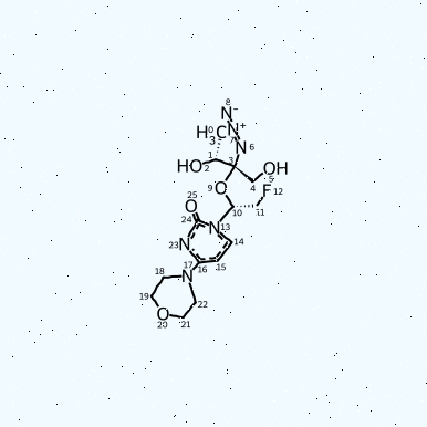 C[C@@H](O)[C@](CO)(N=[N+]=[N-])O[C@H](CF)n1ccc(N2CCOCC2)nc1=O